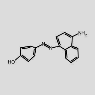 Nc1ccc(/N=N/c2ccc(O)cc2)c2ccccc12